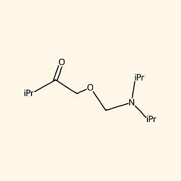 CC(C)C(=O)COCN(C(C)C)C(C)C